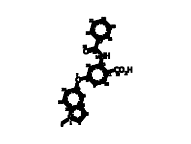 Cn1ccc2cc(Oc3ccc(C(=O)O)c(NC(=O)c4ccccc4)c3)ccc21